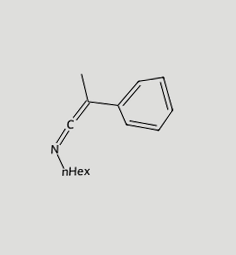 CCCCCCN=C=C(C)c1ccccc1